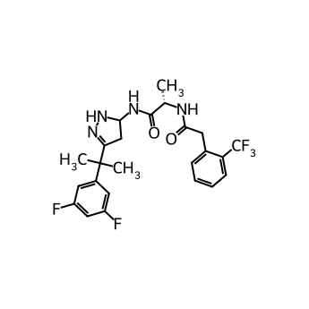 C[C@H](NC(=O)Cc1ccccc1C(F)(F)F)C(=O)NC1CC(C(C)(C)c2cc(F)cc(F)c2)=NN1